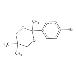 CC1(C)COC(C)(c2ccc(Br)cc2)OC1